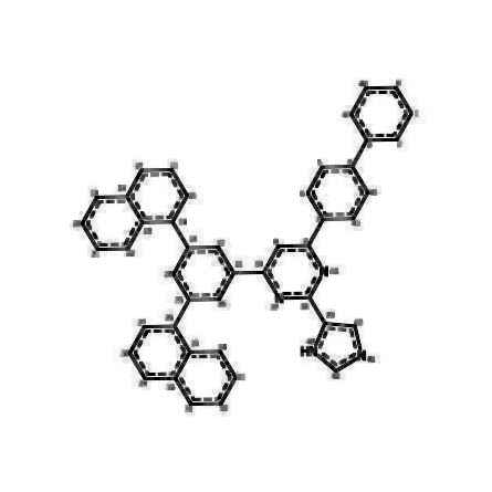 c1ccc(-c2ccc(-c3cc(-c4cc(-c5cccc6ccccc56)cc(-c5cccc6ccccc56)c4)nc(-c4cnc[nH]4)n3)cc2)cc1